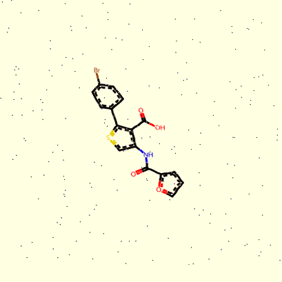 O=C(Nc1csc(-c2ccc(Br)cc2)c1C(=O)O)c1ccco1